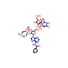 C=CCOP(=O)(OCCC#N)OC1C(F)[C@H](n2cnc3c(NC(=O)c4ccccc4)ncnc32)O[C@@H]1COP(=S)(OCCC#N)OC1C(F)[C@@H](CO)O[C@H]1n1ccc(=O)[nH]c1=O